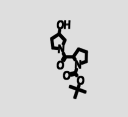 CC(C)(C)OC(=O)N1CCCC1C(=O)N1CCC(O)C1